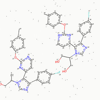 CCC(CO)n1cnc(-c2ccc(F)cc2)c1-c1ccnc(Oc2ccc(C)cc2)n1.Cc1ccc(Oc2nccc(-c3c(-c4ccc(F)cc4)ncn3C(CO)CO)n2)cc1